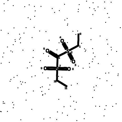 CCS(=O)(=O)C(=O)S(=O)(=O)CC